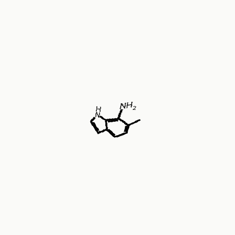 Cc1ccc2cc[nH]c2c1N